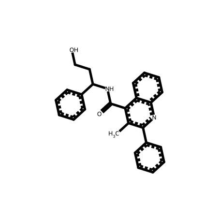 Cc1c(-c2ccccc2)nc2ccccc2c1C(=O)NC(CCO)c1ccccc1